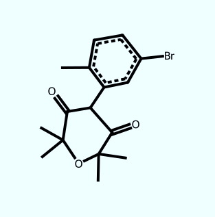 Cc1ccc(Br)cc1C1C(=O)C(C)(C)OC(C)(C)C1=O